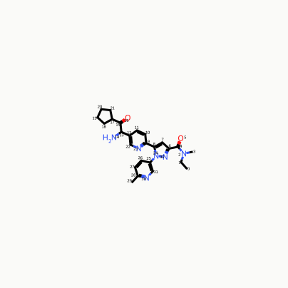 CCN(C)C(=O)c1cc(-c2ccc(C(N)C(=O)C3CCCC3)cn2)n(-c2ccc(C)nc2)n1